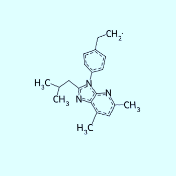 [CH2]Cc1ccc(-n2c(CC(C)C)nc3c(C)cc(C)nc32)cc1